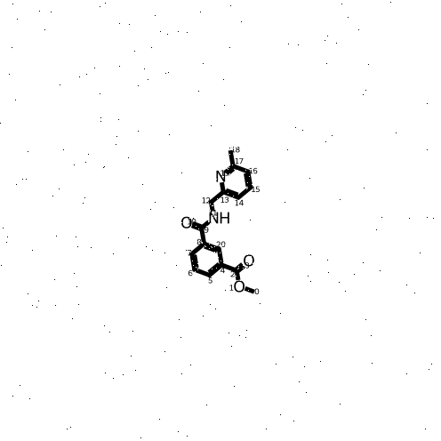 COC(=O)c1cccc(C(=O)NCc2cccc(C)n2)c1